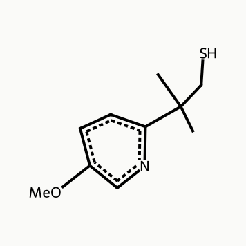 COc1ccc(C(C)(C)CS)nc1